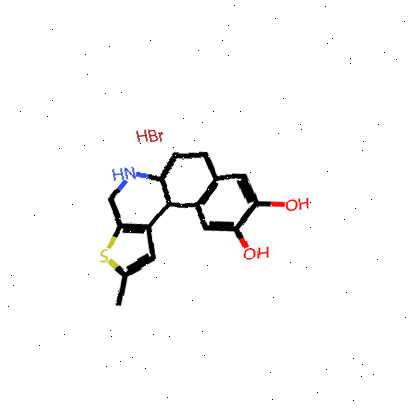 Br.Cc1cc2c(s1)CNC1CCc3cc(O)c(O)cc3C21